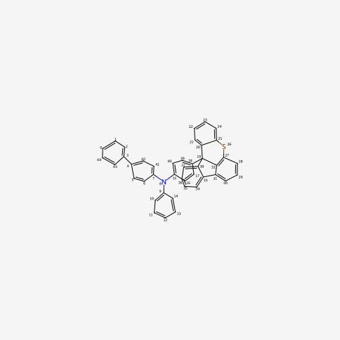 c1ccc(-c2ccc(N(c3ccccc3)c3ccc(C45c6ccccc6Sc6cccc(c64)-c4ccccc45)cc3)cc2)cc1